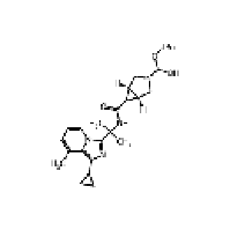 Cc1cccn2c(C(C)(C)NC(=O)[C@H]3[C@@H]4CN(C(O)OC(C)(C)C)C[C@@H]43)nc(C3CC3)c12